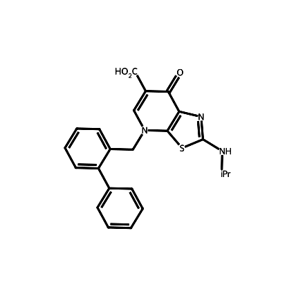 CC(C)Nc1nc2c(=O)c(C(=O)O)cn(Cc3ccccc3-c3ccccc3)c2s1